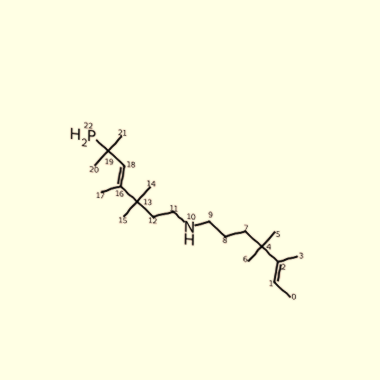 C/C=C(\C)C(C)(C)CCCNCCC(C)(C)/C(C)=C/C(C)(C)P